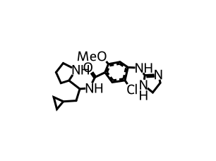 COc1cc(NC2=NCCN2)c(Cl)cc1C(=O)NC(CC1CC1)C1CCCN1